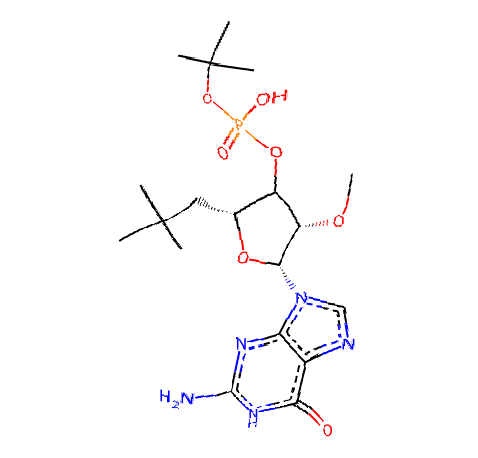 CO[C@H]1C(OP(=O)(O)OC(C)(C)C)[C@@H](CC(C)(C)C)O[C@H]1n1cnc2c(=O)[nH]c(N)nc21